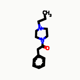 CCCN1CCN(C(=O)Cc2ccccc2)CC1